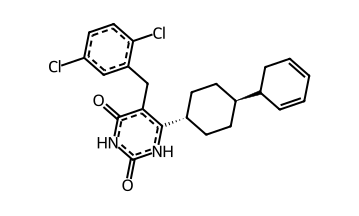 O=c1[nH]c(=O)c(Cc2cc(Cl)ccc2Cl)c([C@H]2CC[C@H](C3C=CC=CC3)CC2)[nH]1